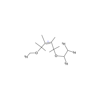 [2H]COC(C)(C)/C(C)=C(/C)C(C)(C)OC([2H])C([2H])[2H]